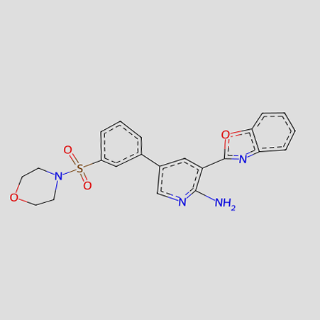 Nc1ncc(-c2cccc(S(=O)(=O)N3CCOCC3)c2)cc1-c1nc2ccccc2o1